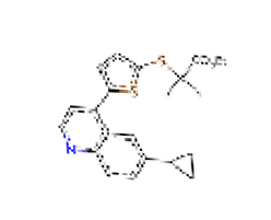 CCOC(=O)C(C)(C)Sc1ccc(-c2ccnc3ccc(C4CC4)cc23)s1